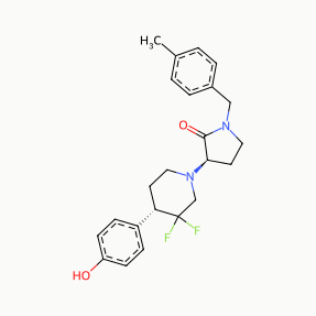 Cc1ccc(CN2CC[C@@H](N3CC[C@@H](c4ccc(O)cc4)C(F)(F)C3)C2=O)cc1